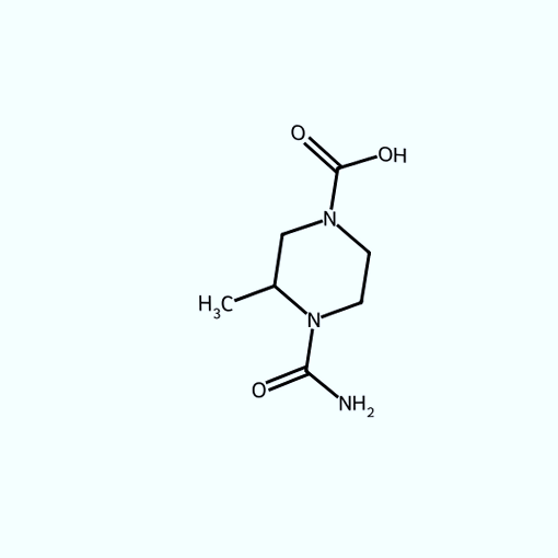 CC1CN(C(=O)O)CCN1C(N)=O